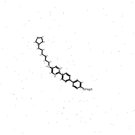 CCCCCCCc1ccc(-c2ccc(-c3ncc(OCCCCCCC4CCCC4)cn3)cc2)cc1